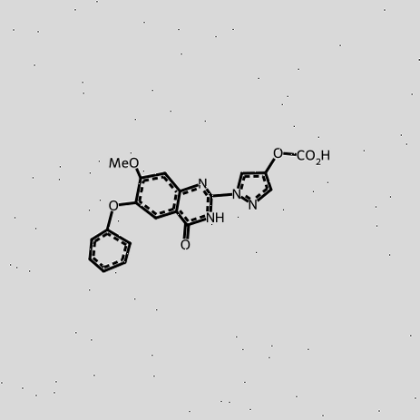 COc1cc2nc(-n3cc(OC(=O)O)cn3)[nH]c(=O)c2cc1Oc1ccccc1